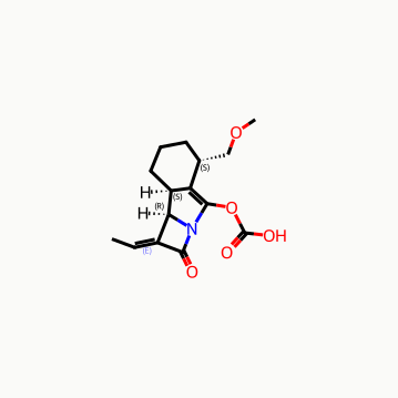 C/C=C1/C(=O)N2C(OC(=O)O)=C3[C@@H](COC)CCC[C@@H]3[C@H]12